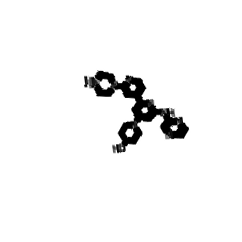 OC1CCN(c2cc(Nc3cnccn3)nc(-c3ccnc(N4CCNCC4)c3)c2)CC1